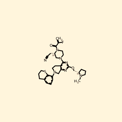 C=C(F)C(=O)N1CCN(c2nc(OC[C@@H]3CCCN3C)nc3c2CCN(c2cccc4c2SCCC4)C3)C[C@@H]1CC#N